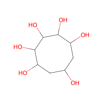 OC1CC(O)C(O)C(O)C(O)C(O)C1